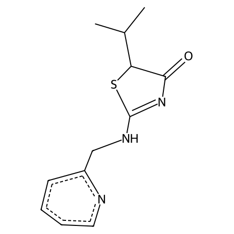 CC(C)C1SC(NCc2ccccn2)=NC1=O